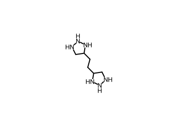 C(CC1CNNN1)C1CNNN1